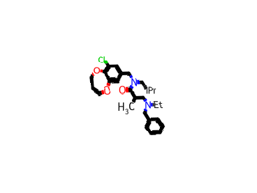 CCN(Cc1ccccc1)CC(C)C(=O)N(Cc1cc(Cl)c2c(c1)OCCCO2)CC(C)C